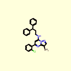 Bc1cnn2c(NCCC(c3ccccc3)c3ccccc3)cc(-c3ccccc3Cl)nc12